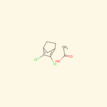 CC(=O)O.ClC1=C2CCC(=C1Cl)C2